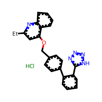 CCc1cc(OCc2ccc(-c3ccccc3-c3nnn[nH]3)cc2)c2ccccc2n1.Cl